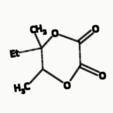 CCC1(C)OC(=O)C(=O)OC1C